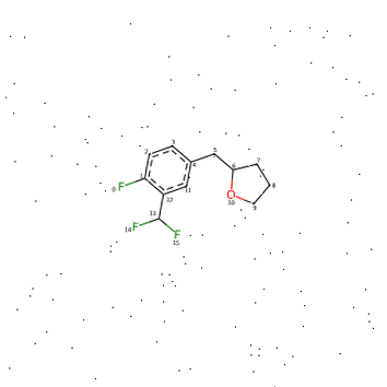 Fc1ccc([CH]C2CCCO2)cc1C(F)F